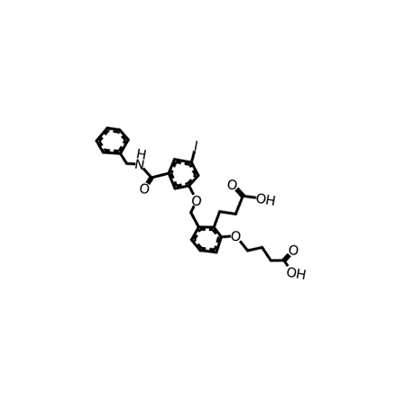 O=C(O)CCCOc1cccc(COc2cc(I)cc(C(=O)NCc3ccccc3)c2)c1CCC(=O)O